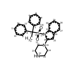 CC(c1ccccc1)(c1ccccc1)S(=O)(=O)n1c(N2CCNCC2)cc2ccccc21